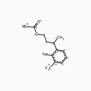 [2H]c1c(C(C)CCOC(=O)C(C)(C)C)cccc1C(F)(F)F